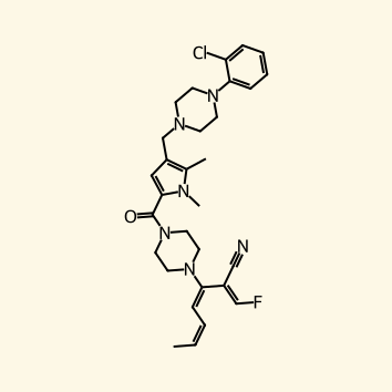 C\C=C/C=C(\C(C#N)=C\F)N1CCN(C(=O)c2cc(CN3CCN(c4ccccc4Cl)CC3)c(C)n2C)CC1